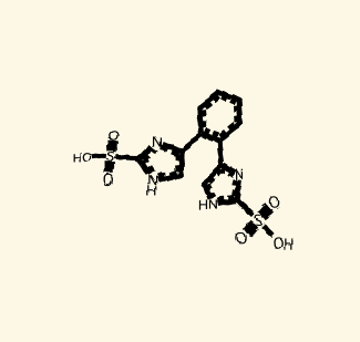 O=S(=O)(O)c1nc(-c2ccccc2-c2c[nH]c(S(=O)(=O)O)n2)c[nH]1